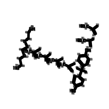 C=C(C)C(=O)O.C=C(C)C(=O)O.C=C(C)C(=O)O.C=C(C)C(=O)O.C=C(C)C(=O)O.C=C(C)C(=O)O.CC(C)(c1ccc(O)cc1)c1ccc(O)cc1.OCCOCCOCCO